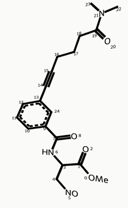 COC(=O)C(CN=O)NC(=O)c1cccc(C#CCCCC(=O)N(C)C)c1